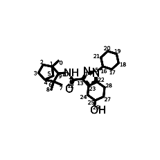 CC12CCC(C1)C(C)(C)C2NC(=O)c1nn(C2CCCCC2)c2c1CC(O)CC2